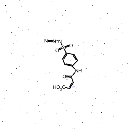 [N-]=[N+]=NS(=O)(=O)c1ccc(NC(=O)/C=C\C(=O)O)cc1